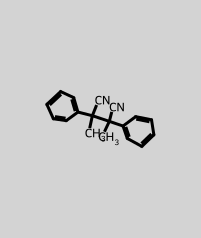 CC(C#N)(c1ccccc1)C(C)(C#N)c1ccccc1